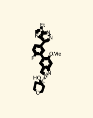 CCn1cnc2c(-c3ccc(F)c(-c4cc5cn(CC6(O)CCOCC6)nc5cc4OC)c3)cnnc21